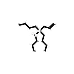 C=CC[Si](CCCC)(CCCC)OCCC